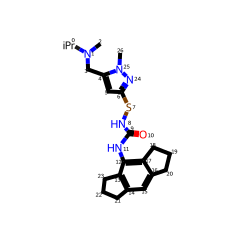 CC(C)N(C)Cc1cc(SNC(=O)Nc2c3c(cc4c2CCC4)CCC3)nn1C